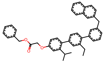 CCc1cc(-c2ccc(OCC(=O)OCc3ccccc3)cc2C(C)C)ccc1-c1cccc(Cc2ccc3ccccc3c2)c1